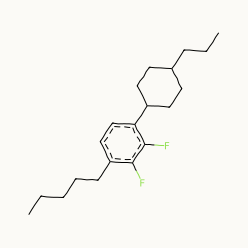 CCCCCc1ccc(C2CCC(CCC)CC2)c(F)c1F